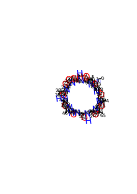 C/C=C/C[C@@H](C)[C@@H](O)[C@H]1C(=O)N[C@@H](CC)C(=O)N(C)C(CO)C(=O)N(C)[C@@H](CC(C)(C)C)C(=O)N[C@@H](C(C)C)C(=O)N(C)[C@@H](CC(C)C)C(=O)N[C@@H](C)C(=O)N[C@H](C)C(=O)N(C)[C@@H](CC(C)C)C(=O)N(C)[C@@H](CC(C)C)C(=O)N(C)[C@@H](C(C)C)C(=O)N1C